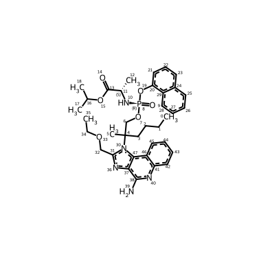 CCCCC(C)(CO[P@](=O)(N[C@@H](C)C(=O)OC(C)C)Oc1cccc2ccccc12)n1c(COCC)nc2c(N)nc3ccccc3c21